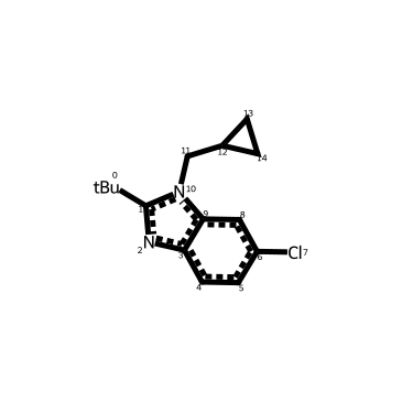 CC(C)(C)c1nc2ccc(Cl)cc2n1CC1CC1